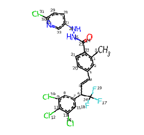 Cc1cc(/C=C/C(c2cc(Cl)c(Cl)c(Cl)c2)C(F)(F)F)ccc1C(=O)NNc1ccc(Cl)nc1